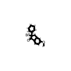 COc1ccc2c(c1)CC(Br)(c1ccccc1)C2=O